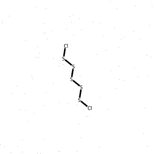 ClSSSSSCl